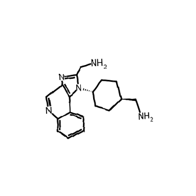 NCc1nc2cnc3ccccc3c2n1[C@H]1CC[C@H](CN)CC1